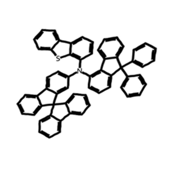 c1ccc(C2(c3ccccc3)c3ccccc3-c3c(N(c4ccc5c(c4)C4(c6ccccc6-c6ccccc64)c4ccccc4-5)c4cccc5c4sc4ccccc45)cccc32)cc1